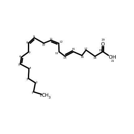 CCCCC/C=C\C/C=C\C/C=C\C/C=C/CCCC(=O)O